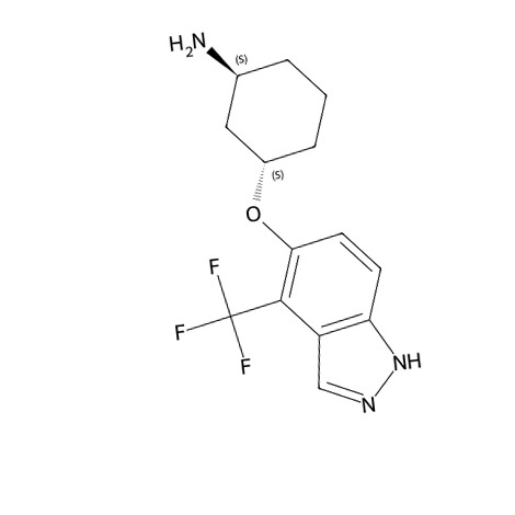 N[C@H]1CCC[C@H](Oc2ccc3[nH]ncc3c2C(F)(F)F)C1